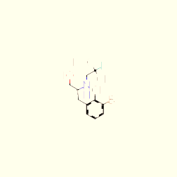 Cc1c(Br)cccc1C[C@@H](CO)NCC(C)(C)F